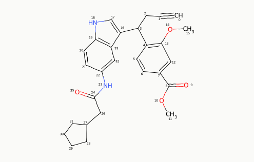 C#CCC(c1ccc(C(=O)OC)cc1OC)c1c[nH]c2ccc(NC(=O)CC3CCCC3)cc12